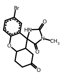 CN1C(=O)NC2(C1=O)c1cc(Br)ccc1OC1CCC(=O)CC12